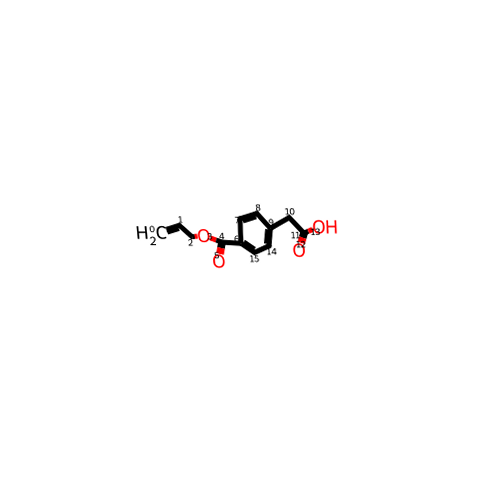 C=CCOC(=O)c1ccc(CC(=O)O)cc1